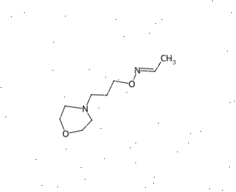 C/C=N/OCCCN1CCOCC1